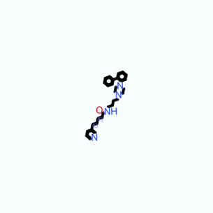 O=C(/C=C/C=C/c1cccnc1)NCCCCN1CCN(c2ccccc2-c2ccccc2)CC1